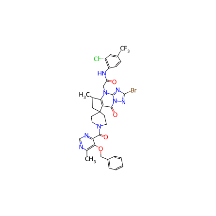 Cc1ncnc(C(=O)N2CCC3(CC2)CC(C)c2c3c(=O)n3nc(Br)nc3n2CC(=O)Nc2ccc(C(F)(F)F)cc2Cl)c1OCc1ccccc1